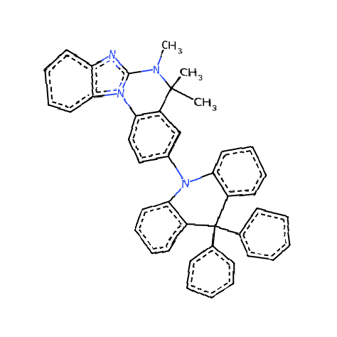 CN1c2nc3ccccc3n2-c2ccc(N3c4ccccc4C(c4ccccc4)(c4ccccc4)c4ccccc43)cc2C1(C)C